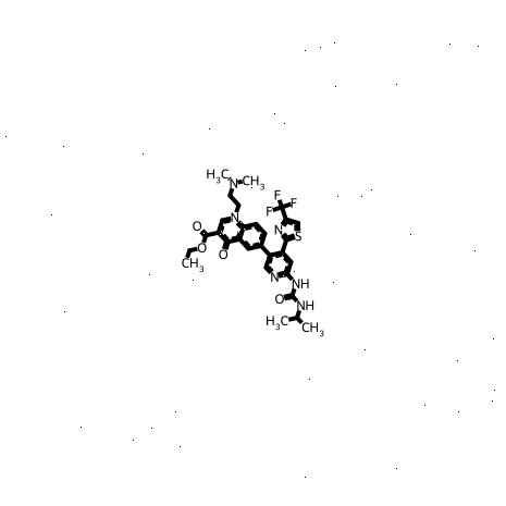 CCOC(=O)c1cn(CCN(C)C)c2ccc(-c3cnc(NC(=O)NC(C)C)cc3-c3nc(C(F)(F)F)cs3)cc2c1=O